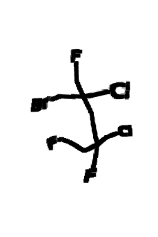 FC(F)(Cl)C(F)(Cl)Br